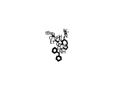 CC[C@H](NC(=O)OC(C)(C)C)C(=O)N[C@@H]1C(=O)N2C(CC[C@@H]1CN=[N+]=[N-])CC[C@H]2C(=O)NC(c1ccccc1)c1ccccc1